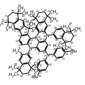 Cc1cc2c(cc1N1c3cc(N(c4ccc(C(C)(C)C)cc4)c4ccc(C(C)(C)C)cc4)cc4c3B(c3cc5c(cc3N4c3ccc4c(c3)C(C)(C)CCC4(C)C)C(C)(C)CCC5(C)C)c3c1ccc1c3C(C)(C)c3cc4c(cc3-1)C(C)(C)CCC4(C)C)C(C)(C)CCC2(C)C